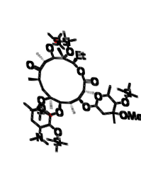 CC[C@H]1OC(=O)[C@H](C)[C@@H](OC2CC(C)(OC)C(O[Si](C)(C)C)C(C)O2)[C@H](C)[C@@H](OC2OC(C)CC(N(C)C)C2O[Si](C)(C)C)[C@@](C)(O[Si](C)(C)C)C[C@@H](C)C(=O)[C@H](C)C(O[Si](C)(C)C)[C@]1(C)O[Si](C)(C)C